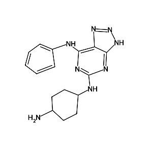 NC1CCC(Nc2nc(Nc3ccccc3)c3nn[nH]c3n2)CC1